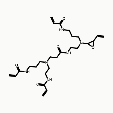 C=CC(=O)NCCCN(CCNC(=O)C=C)CCC(=O)NCCN(CCCNC(=O)C=C)C1OC1C=C